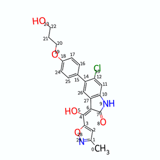 Cc1cc(C(O)=C2C(=O)Nc3cc(Cl)c(-c4ccc(OCCCO)cc4)cc32)on1